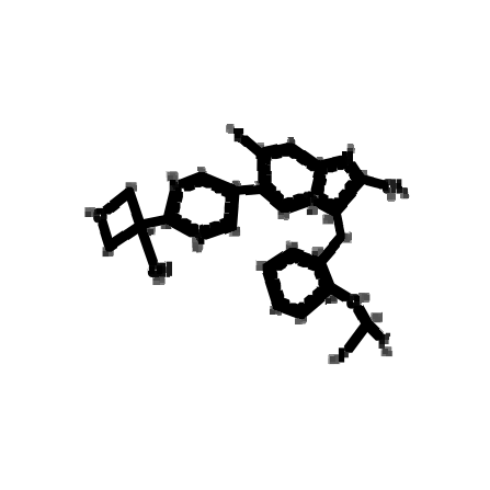 Cc1nc2cc(F)c(-c3cnc(C4(O)COC4)nc3)cn2c1Cc1ccccc1OC(F)F